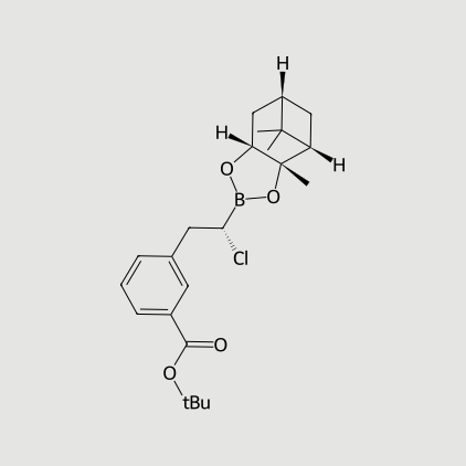 CC(C)(C)OC(=O)c1cccc(C[C@@H](Cl)B2O[C@@H]3C[C@@H]4C[C@@H](C4(C)C)[C@]3(C)O2)c1